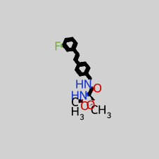 COC[C@@H](NC(C)=O)C(=O)NCc1ccc(C=Cc2cccc(F)c2)cc1